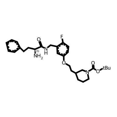 CC(C)(C)OC(=O)N1CCCC(CCOc2ccc(F)c(CNC(=O)[C@@H](N)CCc3ccccc3)c2)C1